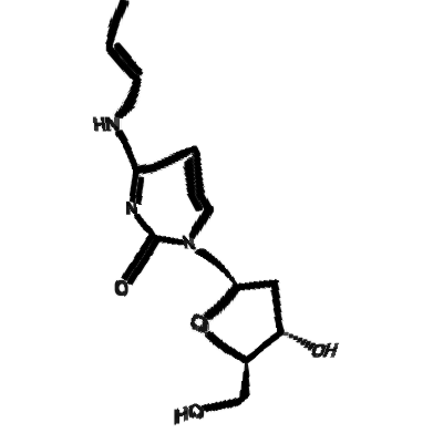 CC=CNc1ccn([C@H]2C[C@H](O)[C@@H](CO)O2)c(=O)n1